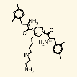 Cc1ccc(C[C@@H](N)C(=O)N2CCN(C(=O)[C@H](N)Cc3ccc(C)cc3C)[C@@H](CCCCNCCN)C2)c(C)c1